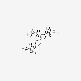 C=C(C)C(=O)Oc1ccc(C2CCC(OC(=O)C(=C)C)C(F)C2)c(OC(=O)C(=C)C)c1